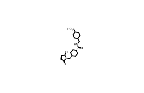 O=C(O)C1CCC(CNC(=O)[C@H]2CC[C@H](CN3C(=O)C=CC3O)CC2)CC1